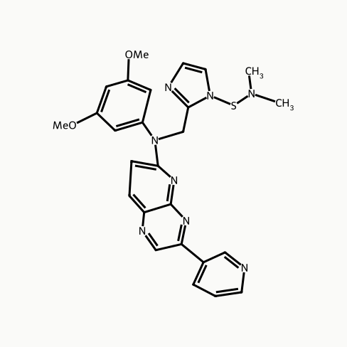 COc1cc(OC)cc(N(Cc2nccn2SN(C)C)c2ccc3ncc(-c4cccnc4)nc3n2)c1